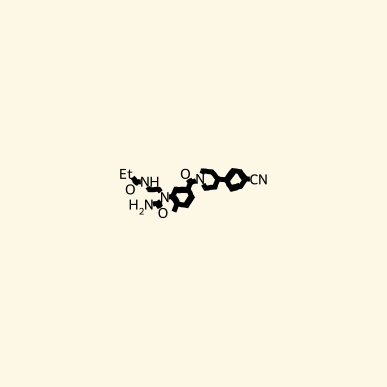 CCC(=O)NCCN(C(N)=O)c1cc(C(=O)N2CCC(c3ccc(C#N)cc3)CC2)ccc1C